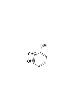 CCCCc1ccccc1.O=CO